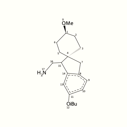 CO[C@H]1CC[C@]2(CC1)Cc1ccc(OCC(C)C)cc1C2CN